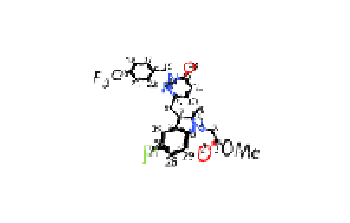 COC(=O)Cn1c(C)c(Cc2ccc(=O)n(Cc3ccc(C(F)(F)F)cc3)n2)c2cc(F)ccc21